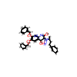 CC(CCc1ccccc1)N[C@H](C(N)=O)C(O)c1ccc(OCc2ccccc2)c(OCc2ccccc2)c1